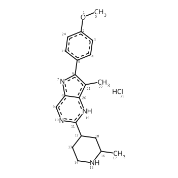 COc1ccc(-c2nc3cnc(C4CCNC(C)C4)[nH]c-3c2C)cc1.Cl